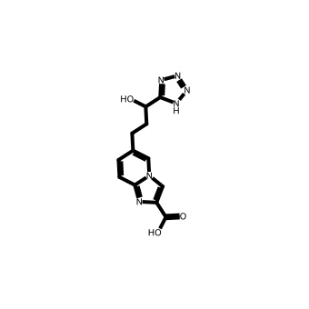 O=C(O)c1cn2cc(CCC(O)c3nnn[nH]3)ccc2n1